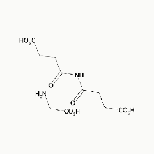 NCC(=O)O.O=C(O)CCC(=O)NC(=O)CCC(=O)O